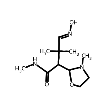 CNC(=O)C(C1OCCN1C)C(C)(C)C=NO